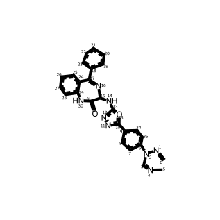 C=NN(/C=N\C)c1ccc(-c2nnc(NC3N=C(c4ccccc4)c4ccccc4NC3=O)o2)cc1